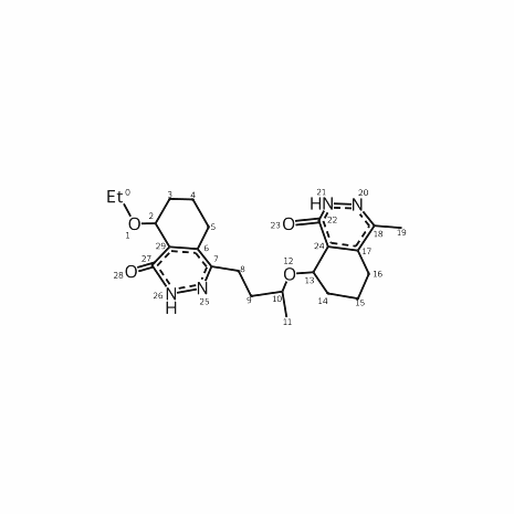 CCOC1CCCc2c(CCC(C)OC3CCCc4c(C)n[nH]c(=O)c43)n[nH]c(=O)c21